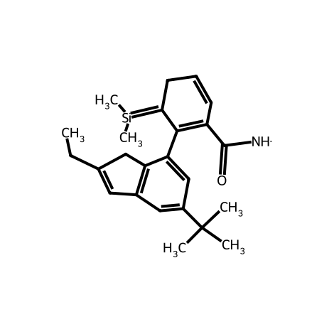 CCC1=Cc2cc(C(C)(C)C)cc(C3=C(C([NH])=O)C=CCC3=[Si](C)C)c2C1